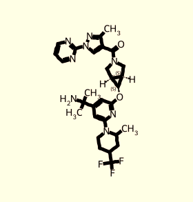 Cc1nn(-c2ncccn2)cc1C(=O)N1C[C@@H]2[C@H](C1)[C@H]2Oc1cc(C(C)(C)N)cc(N2CCC(C(F)(F)F)CC2C)n1